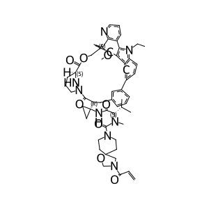 C=CC(=O)N1COC2(CCN(C(=O)N(C)[C@H](C(=O)NC3([C@H]4Cc5cccc(c5)-c5ccc6c(c5)c(c(-c5cccnc5[C@H](C)OC)n6CC)CC(C)(C)COC(=O)[C@@H]5CCCN(N5)C4=O)CC3)C(C)C)CC2)C1